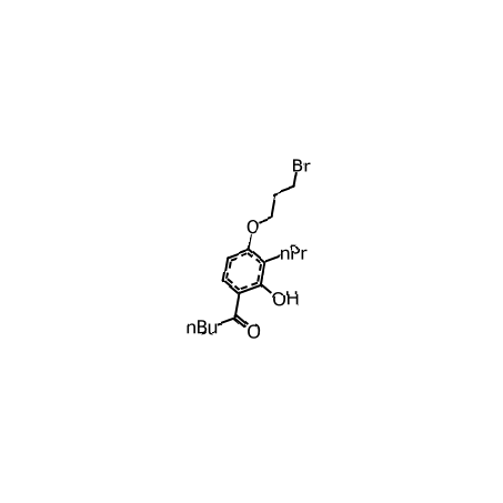 CCCCC(=O)c1ccc(OCCCBr)c(CCC)c1O